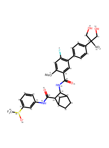 COc1cc(F)c(-c2ccc(C(CO)(CO)[N+](=O)[O-])cc2)cc1C(=O)NC1C2CCC(C2)C1C(=O)Nc1cccc([S+]([O-])C(F)(F)F)c1